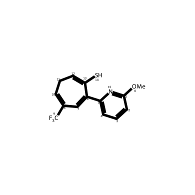 COc1cccc(C2=CC(C(F)(F)F)=CCC=C2S)n1